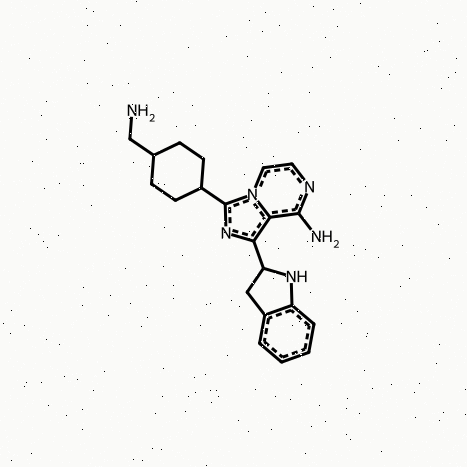 NCC1CCC(c2nc(C3Cc4ccccc4N3)c3c(N)nccn23)CC1